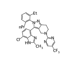 CCCc1cccc(CC)c1-n1nc2c(c1-c1ccc(Cl)c3[nH]c(C)nc13)CN(c1ncc(C(F)(F)F)cn1)CC2